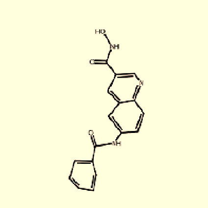 O=C(NO)c1cnc2ccc(NC(=O)c3ccccc3)cc2c1